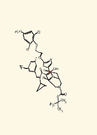 Cc1cc(Cl)c(OCCOc2ncc(C3=C(C(=O)N(Cc4cc(F)cc(F)c4)C4CC4)[C@H]4CN(C(=O)OC(C)(C)C)CC(C3)N4C(=O)O)s2)c(Cl)c1